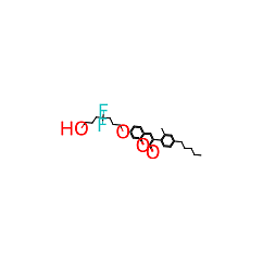 CCCCCc1ccc(-c2cc3ccc(OCCCC(F)(F)CCCO)cc3oc2=O)c(C)c1